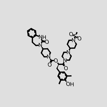 Cc1cc(C[C@@H](OC(=O)N2CCC(N3CCc4ccccc4NC3=O)CC2)C(=O)N2CCN(C3CCN(S(C)(=O)=O)CC3)CC2)cc(C)c1O